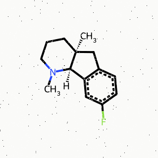 CN1CCC[C@@]2(C)Cc3ccc(F)cc3[C@@H]12